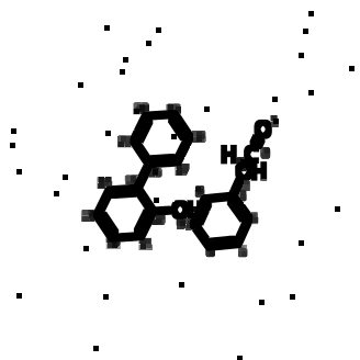 C=O.Oc1ccccc1.Oc1ccccc1-c1ccccc1